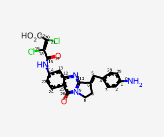 Nc1ccc(C=C2CCn3c2nc2cc(NC(=O)C(Cl)=C(Cl)C(=O)O)ccc2c3=O)cc1